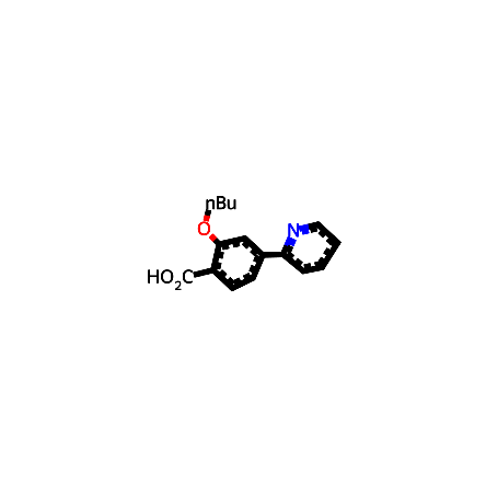 CCCCOc1cc(-c2ccccn2)ccc1C(=O)O